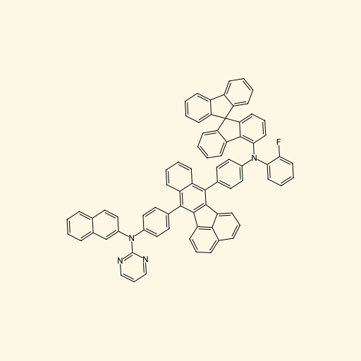 Fc1ccccc1N(c1ccc(-c2c3c(c(-c4ccc(N(c5ccc6ccccc6c5)c5ncccn5)cc4)c4ccccc24)-c2cccc4cccc-3c24)cc1)c1cccc2c1-c1ccccc1C21c2ccccc2-c2ccccc21